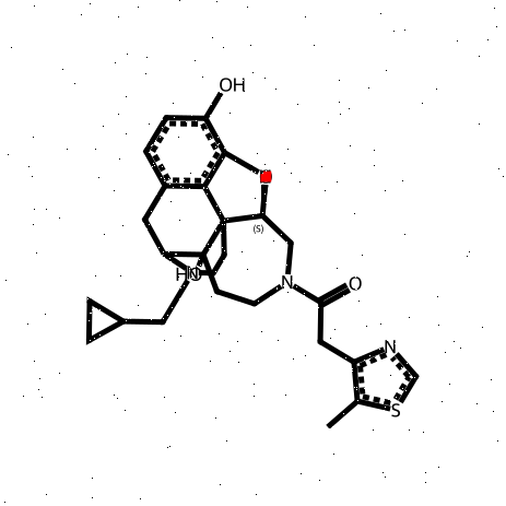 Cc1scnc1CC(=O)N1CCC2(O)C3Cc4ccc(O)c5c4C2(CCN3CC2CC2)[C@@H](C1)O5